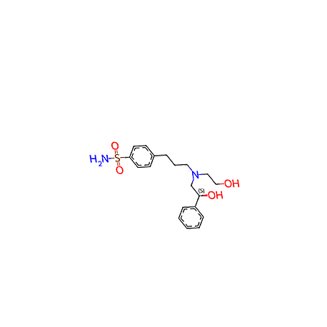 NS(=O)(=O)c1ccc(CCCN(CCO)C[C@@H](O)c2ccccc2)cc1